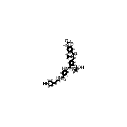 O=C(O)C(F)(F)F.O=C1COc2cc(C(=O)N(Cc3ccc(C(=O)Nc4ccc(C(=O)NCCCC5CCNCC5)cc4)cc3)C3CC3)ccc2N1